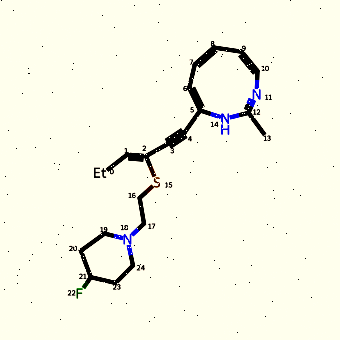 CC/C=C(/C#Cc1cccccnc(C)[nH]1)SCCN1CCC(F)CC1